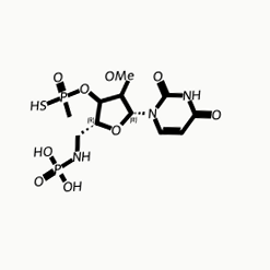 COC1C(OP(C)(=O)S)[C@@H](CNP(=O)(O)O)O[C@H]1n1ccc(=O)[nH]c1=O